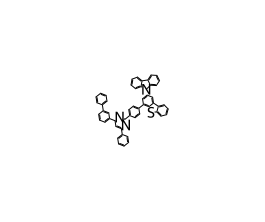 c1ccc(-c2cccc(-c3cc(-c4ccccc4)nc(-c4ccc(-c5cc(-n6c7ccccc7c7ccccc76)cc6c5sc5ccccc56)cc4)n3)c2)cc1